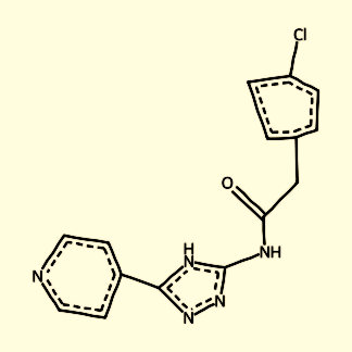 O=C(Cc1ccc(Cl)cc1)Nc1nnc(-c2ccncc2)[nH]1